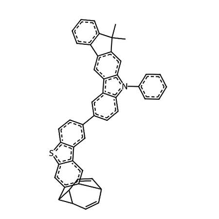 CC1(C)c2ccccc2-c2cc3c4cc(-c5ccc6sc7cc8c(cc7c6c5)C5C=CC6C(C=C5)C86)ccc4n(-c4ccccc4)c3cc21